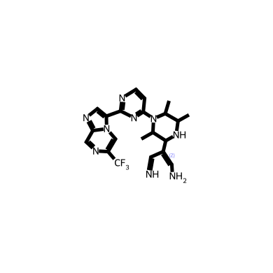 CC1NC(/C(C=N)=C/N)C(C)N(c2ccnc(-c3cnc4cnc(C(F)(F)F)cn34)n2)C1C